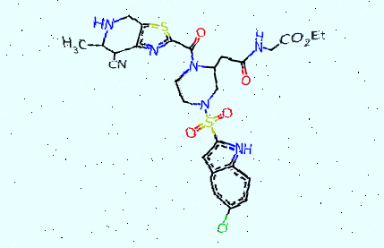 CCOC(=O)CNC(=O)CC1CN(S(=O)(=O)c2cc3cc(Cl)ccc3[nH]2)CCN1C(=O)c1nc2c(s1)CNC(C)C2C#N